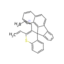 B/C=C\C1=C(C=C)Sc2ccccc2C12c1ccccc1-c1ccc3ccccc3c12